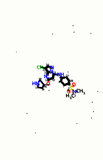 CN(C)S(=O)(=O)c1ccc(Nc2cc(O[C@@H]3CCNC3)nc3c(Cl)cnn23)cc1